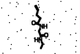 C=CCCC(=O)NCC(=O)NCC